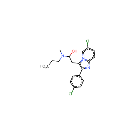 CN(CCC(=O)O)C(O)Cc1c(-c2ccc(Cl)cc2)nc2ccc(Cl)cn12